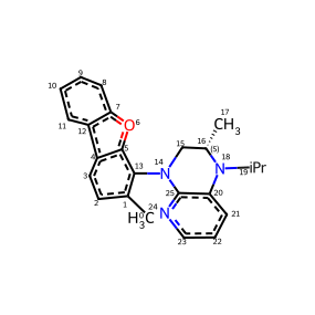 Cc1ccc2c(oc3ccccc32)c1N1C[C@H](C)N(C(C)C)c2cccnc21